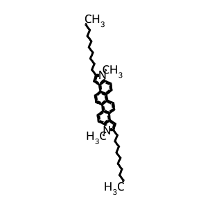 CCCCCCCCCCc1cc2c3ccc4c(ccc5c4ccc4c5cc(CCCCCCCCCC)n4C)c3ccc2n1C